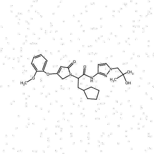 COc1ccccc1OC1=CC(=O)N(C(CC2CCCC2)C(=O)Nc2ccn(CC(C)(C)O)n2)C1